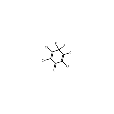 O=C1C(Cl)=C(Cl)C(F)(F)C(Cl)=C1Cl